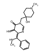 CN/C(=C1/N=CN(CC2(O)CCN(C)CC2)C(=O)C1=N)c1ccccc1